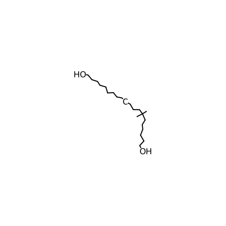 CC(C)(CCCCCCO)CCCCCCCCCCCCCO